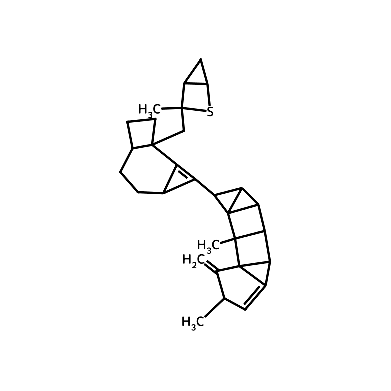 C=C1C(C)C=C2C3C4C5C6C(C7=C8C7CCC7CCC87CC7(C)SC8CC87)C65C4(C)C123